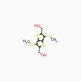 CSc1c(CO)sc2c(SC)c(CO)sc12